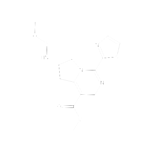 COSN[C@H]1CC2=C(C(=O)OC)CN=C(c3nccs3)N2C1